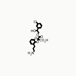 NCCCc1cccc2c1OC(C(=O)O)(C(=O)OCC(O)c1cccc(Cl)c1)O2